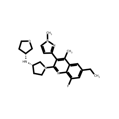 CCc1cc(F)c2nc(N3CC[C@H](N[C@@H]4CCOC4)C3)c(-c3ccn(C)n3)c(C)c2c1